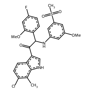 COc1cc(NC(C(=O)c2c[nH]c3c(C)c(Cl)ccc23)c2ccc(F)cc2OC)cc(S(C)(=O)=O)c1